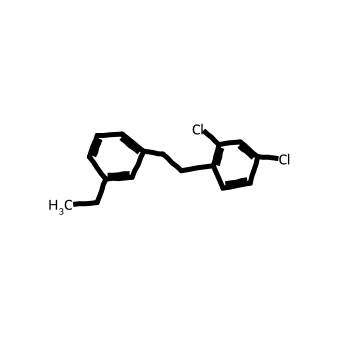 CCc1cccc(CCc2ccc(Cl)cc2Cl)c1